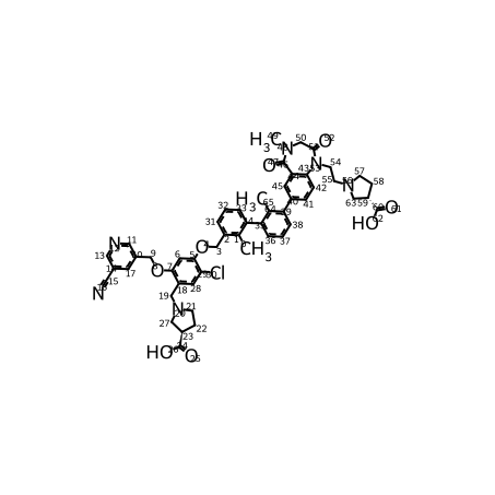 Cc1c(COc2cc(OCc3cncc(C#N)c3)c(CN3CC[C@@H](C(=O)O)C3)cc2Cl)cccc1-c1cccc(-c2ccc3c(c2)C(=O)N(C)CC(=O)N3CCN2CC[C@H](C(=O)O)C2)c1C